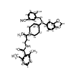 Cc1ncnc(C)c1C(=O)NCCC(C)N1CCC(N(Cc2cc(C#N)ccc2F)c2ccc3c(c2)OCO3)CC1